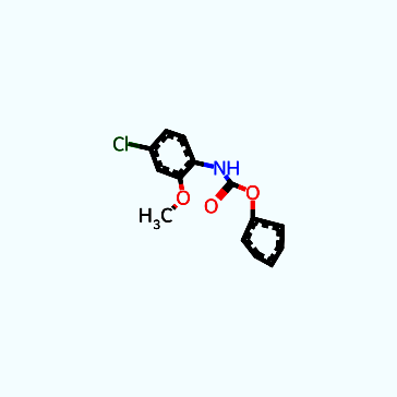 COc1cc(Cl)ccc1NC(=O)Oc1ccccc1